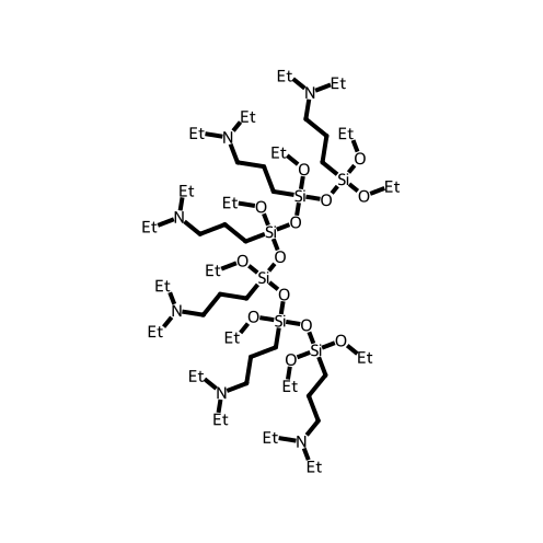 CCO[Si](CCCN(CC)CC)(OCC)O[Si](CCCN(CC)CC)(OCC)O[Si](CCCN(CC)CC)(OCC)O[Si](CCCN(CC)CC)(OCC)O[Si](CCCN(CC)CC)(OCC)O[Si](CCCN(CC)CC)(OCC)OCC